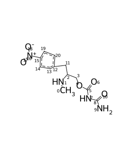 CNC(COC(=O)NC(N)=O)Cc1ccc([N+](=O)[O-])cc1